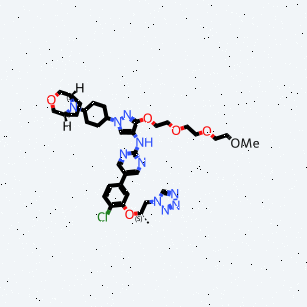 COCCOCCOCCOc1nn(C2CCC(N3[C@@H]4CC[C@H]3COC4)CC2)cc1Nc1ncc(-c2ccc(Cl)c(O[C@@H](C)Cn3cnnn3)c2)cn1